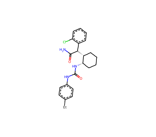 CCc1ccc(NC(=O)N[C@H]2CCCC[C@H]2C(C(N)=O)c2ccccc2Cl)cc1